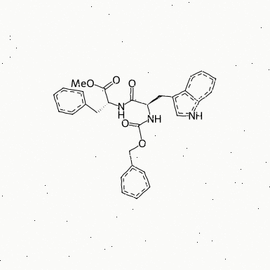 COC(=O)[C@@H](Cc1ccccc1)NC(=O)[C@@H](Cc1c[nH]c2ccccc12)NC(=O)OCc1ccccc1